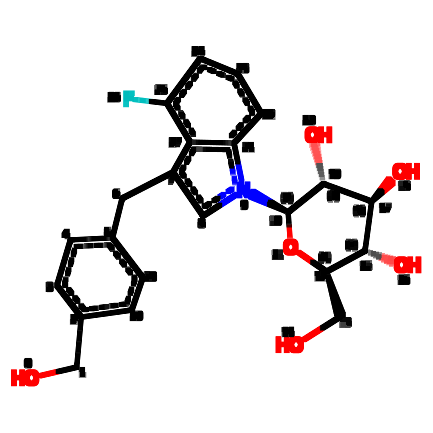 OCc1ccc(Cc2cn([C@@H]3O[C@H](CO)[C@@H](O)[C@H](O)[C@H]3O)c3cccc(F)c23)cc1